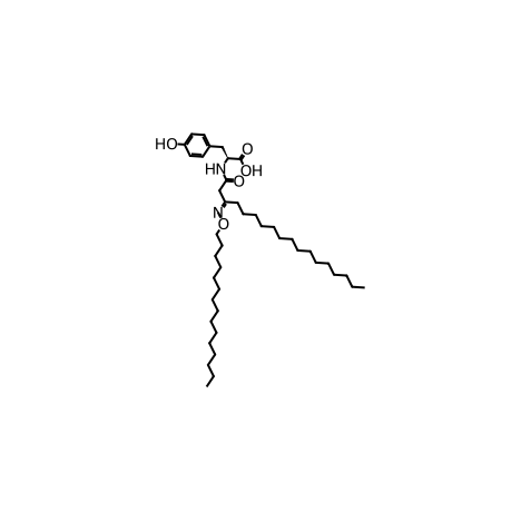 CCCCCCCCCCCCCCCO/N=C(\CCCCCCCCCCCCCCC)CC(=O)N[C@@H](Cc1ccc(O)cc1)C(=O)O